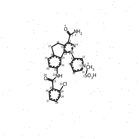 CS(=O)(=O)O.NC(=O)c1nn(-c2cccnc2)c2c1CCc1ccc(NC(=O)c3ccccc3Cl)cc1-2